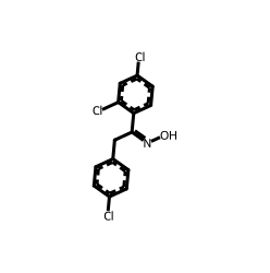 ON=C(Cc1ccc(Cl)cc1)c1ccc(Cl)cc1Cl